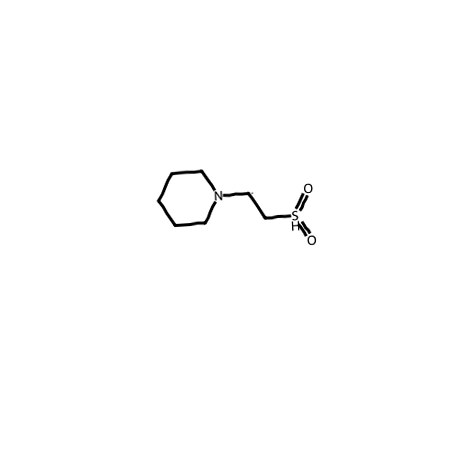 O=[SH](=O)C[CH]N1CCCCC1